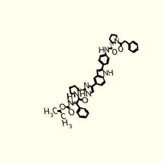 CC(C)OC(=O)N[C@@H](C(=O)N1CCC[C@H]1c1nc(-c2ccc3[nH]c(-c4ccc(NC(=O)[C@@H]5CCCN5C(=O)Cc5ccccc5)cc4)cc3c2)c[nH]1)c1ccccc1